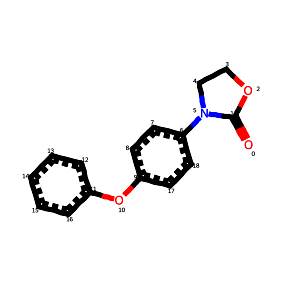 O=C1OCCN1c1ccc(Oc2ccccc2)cc1